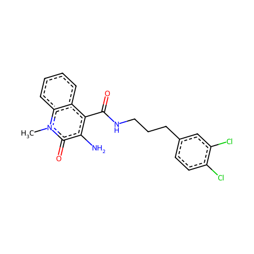 Cn1c(=O)c(N)c(C(=O)NCCCc2ccc(Cl)c(Cl)c2)c2ccccc21